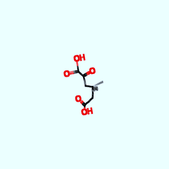 C[C@H](CC(=O)O)CC(=O)C(=O)O